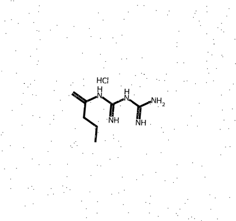 C=C(CCC)NC(=N)NC(=N)N.Cl